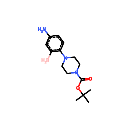 Bc1cc(N)ccc1N1CCN(C(=O)OC(C)(C)C)CC1